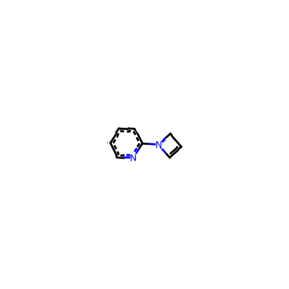 [c]1ccc(N2C=CC2)nc1